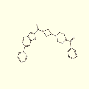 O=C(c1ccccc1)N1CCN(C2CN(C(=O)c3cc4ccc(-c5ccccc5)cc4s3)C2)CC1